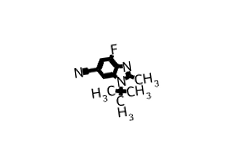 Cc1nc2c(F)cc(C#N)cc2n1C(C)(C)C